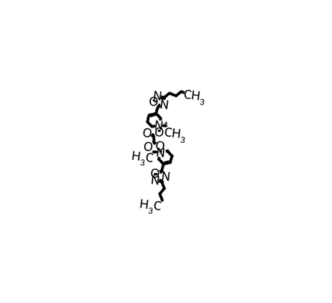 CCCCc1noc(C2=CCC[N+](CC)(OC(=O)C(=O)O[N+]3(CC)CCC=C(c4nc(CCCC)no4)C3)C2)n1